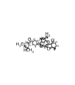 C[C@@H]1CN(C(=O)c2ccc(N(C=O)c3cc(O[C@H](C)c4c(Cl)ccc(F)c4Cl)c(N)nn3)cc2)C[C@H](C)N1